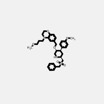 COCCCN1CCOc2ccc(CO[C@H]3CN[C@H](CS(=O)(=O)Cc4ccccc4)C[C@@H]3c3ccc(OC)cc3)cc21